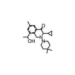 Cc1cc2c(c(C(C)O)c1)CN(N1CCC(C)(C)CC1)C(C1CC1)C2=O